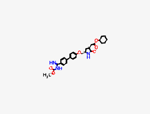 COC(=O)NC(=N)c1ccc(-c2ccc(OC[C@@H]3C[C@@H](CC(=O)OC4CCCCC4)C(=O)N3)cc2)cc1